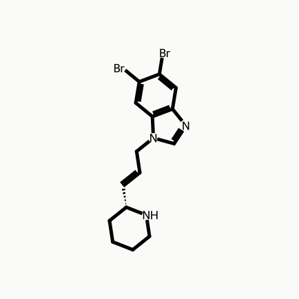 Brc1cc2ncn(C/C=C/[C@H]3CCCCN3)c2cc1Br